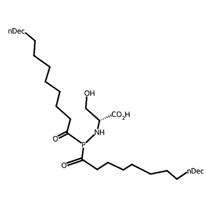 CCCCCCCCCCCCCCCCCC(=O)P(N[C@H](CO)C(=O)O)C(=O)CCCCCCCCCCCCCCCCC